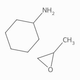 CC1CO1.NC1CCCCC1